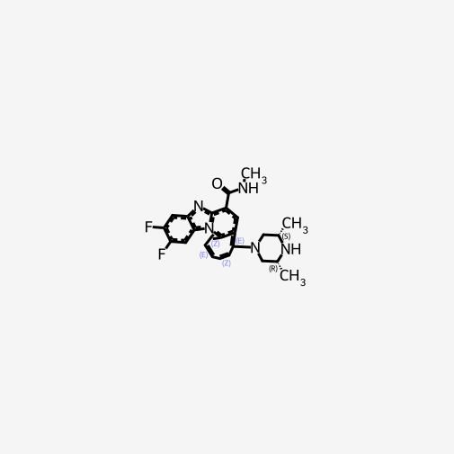 CNC(=O)c1cc2/c(n3c1nc1cc(F)c(F)cc13)=C/C=C/C=C\C=2N1C[C@@H](C)N[C@@H](C)C1